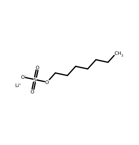 CCCCCCCOS(=O)(=O)[O-].[Li+]